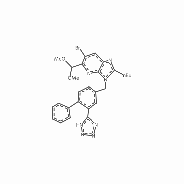 CCCCc1nc2cc(Br)c(C(OC)OC)nc2n1Cc1ccc(-c2ccccc2)c(-c2nnn[nH]2)c1